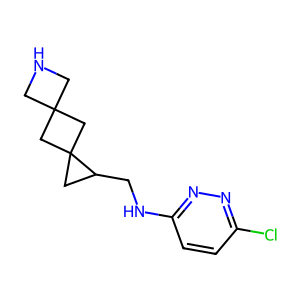 Clc1ccc(NCC2CC23CC2(CNC2)C3)nn1